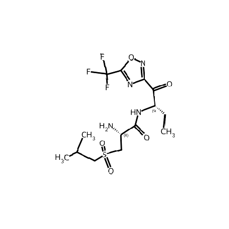 CC[C@H](NC(=O)[C@@H](N)CS(=O)(=O)CC(C)C)C(=O)c1noc(C(F)(F)F)n1